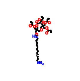 C=CC(=O)OCC(COCC(COC(=O)C=C)(COC(=O)C=C)COC(=O)C=C)(CONCCCCCCCCCCCCN)COC(=O)C=C